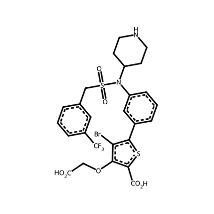 O=C(O)COc1c(C(=O)O)sc(-c2cccc(N(C3CCNCC3)S(=O)(=O)Cc3cccc(C(F)(F)F)c3)c2)c1Br